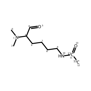 CN(C)C(C=O)CCCCN[13C]([13CH3])=O